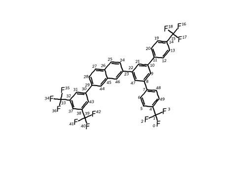 FC(F)(F)c1ccc(-c2cc(-c3ccc(C(F)(F)F)cc3)cc(-c3ccc4ccc(-c5cc(C(F)(F)F)cc(C(F)(F)F)c5)cc4c3)c2)cc1